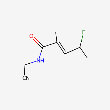 CC(=CC(C)F)C(=O)NCC#N